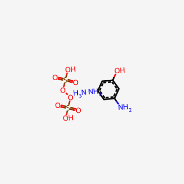 N.N.Nc1cccc(O)c1.O=S(=O)(O)OOS(=O)(=O)O